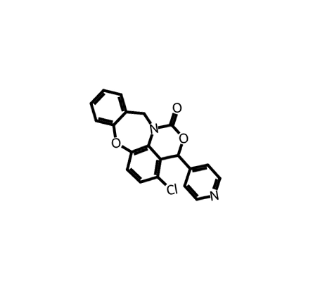 O=C1OC(c2ccncc2)c2c(Cl)ccc3c2N1Cc1ccccc1O3